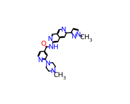 CN1CCN(c2cc(C(=O)Nc3cc4cc(-c5ccn(C)n5)ncc4cn3)ccn2)CC1